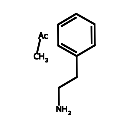 CC(C)=O.NCCc1ccccc1